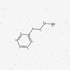 SOCCc1ccccc1